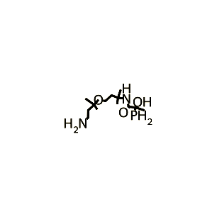 CC(C)(CCOC(C)(C)CCN)NC(=O)C(C)(O)P